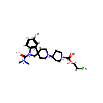 CN(C)C(=O)N1CC2(CCN(C3CCN(C(=O)OCCF)CC3)CC2)c2cc(F)ccc21